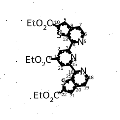 CCOC(=O)c1cc(-c2nccc3cc(C(=O)OCC)sc23)nc(-c2nccc3cc(C(=O)OCC)sc23)c1